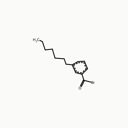 CCCCCCCc1cccc(C(=O)Br)c1